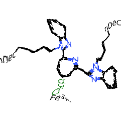 CCCCCCCCCCCCCCn1c(-c2cccc(-c3nc4ccccc4n3CCCCCCCCCCCCCC)n2)nc2ccccc21.[Cl-].[Cl-].[Cl-].[Fe+3]